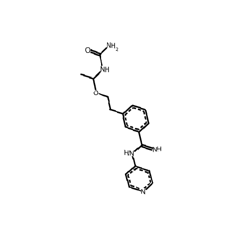 CC(NC(N)=O)OCCc1cccc(C(=N)Nc2ccncc2)c1